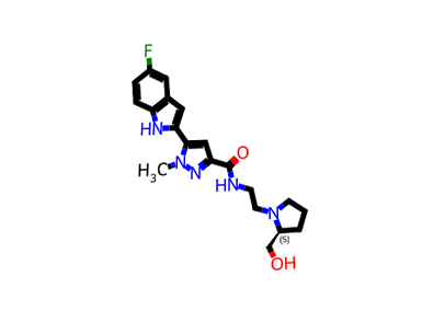 Cn1nc(C(=O)NCCN2CCC[C@H]2CO)cc1-c1cc2cc(F)ccc2[nH]1